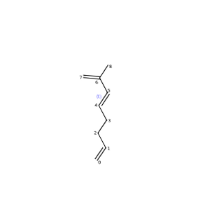 C=CCC/C=C/C(=C)C